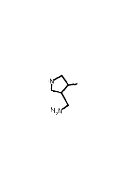 CC1C[N]CC1CN